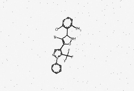 FC(F)(F)c1c(C2=C(Br)C(c3c(P)cccc3Cl)NO2)cnn1-c1ccccc1